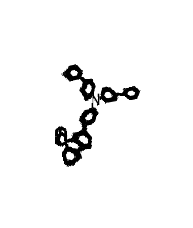 c1ccc(-c2ccc(N(c3ccc(-c4ccccc4)cc3)c3ccc(-c4ccc5c(c4)C4(c6ccccc6-5)C5CC6CC(C5)CC4C6)cc3)cc2)cc1